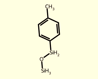 Cc1ccc([SiH2]O[SiH3])cc1